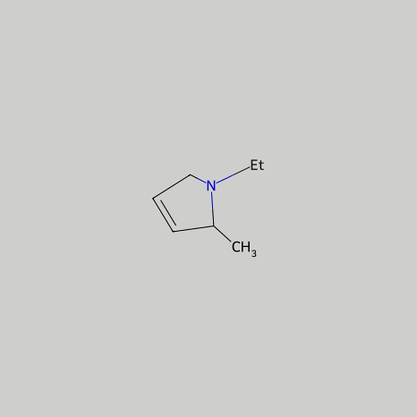 CCN1CC=CC1C